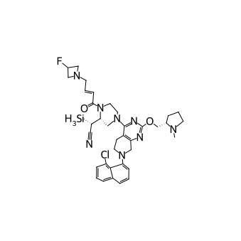 CN1CCC[C@H]1COc1nc2c(c(N3CCN(C(=O)/C=C/CN4CC(F)C4)[C@@H]([C@@H]([SiH3])C#N)C3)n1)CCN(c1cccc3cccc(Cl)c13)C2